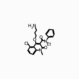 CCN(C(=O)c1c(OCCCN)c2c(Cl)cccc2n(C)c1=O)c1ccccc1